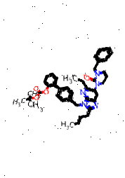 CCCCc1nc2cc(N3CCCN(Cc4ccccc4)C3=O)c(CC)nc2n1Cc1ccc(-c2ccccc2OC(=O)OC(C)(C)C)cc1